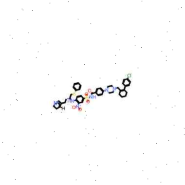 O=C(NS(=O)(=O)c1ccc(N[C@H](CCC2C[N@]3CC[C@@H]2C3)CSc2ccccc2)c([N+](=O)[O-])c1)c1ccc(N2CCN(CC3=C(c4ccc(Cl)cc4)CCCC3)CC2)cc1